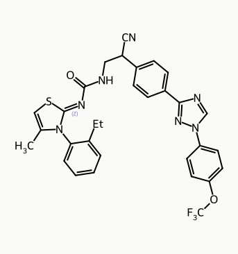 CCc1ccccc1-n1c(C)cs/c1=N\C(=O)NCC(C#N)c1ccc(-c2ncn(-c3ccc(OC(F)(F)F)cc3)n2)cc1